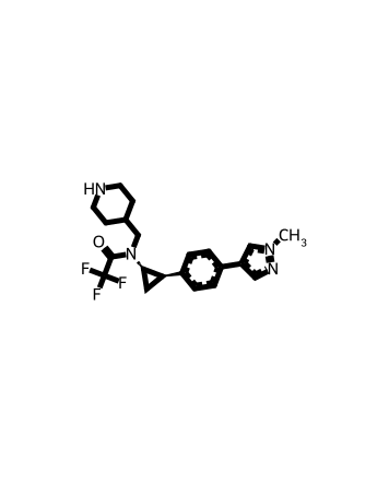 Cn1cc(-c2ccc([C@H]3C[C@@H]3N(CC3CCNCC3)C(=O)C(F)(F)F)cc2)cn1